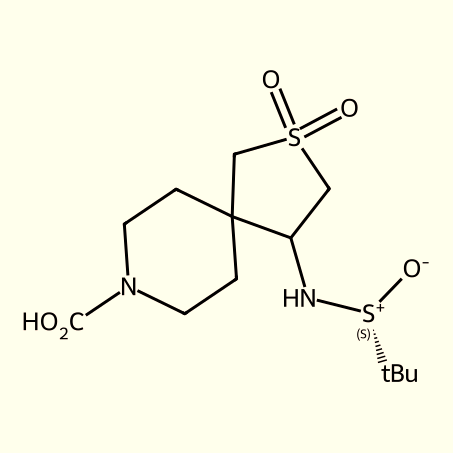 CC(C)(C)[S@@+]([O-])NC1CS(=O)(=O)CC12CCN(C(=O)O)CC2